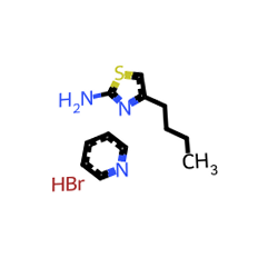 Br.CCCCc1csc(N)n1.c1ccncc1